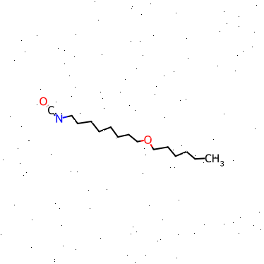 CCCCCCOCCCCCCCCN=C=O